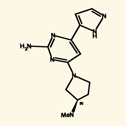 CN[C@@H]1CCN(c2cc(-c3ccn[nH]3)nc(N)n2)C1